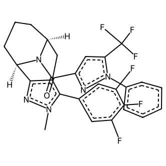 Cn1nc2c(c1-c1cc(F)c(F)c(F)c1)C[C@@H]1CCC[C@H]2N1C(=O)c1cc(C(F)(F)F)n(-c2ccccc2)n1